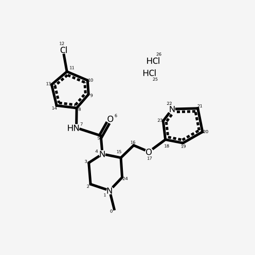 CN1CCN(C(=O)Nc2ccc(Cl)cc2)C(COc2cccnc2)C1.Cl.Cl